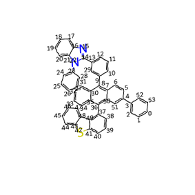 c1ccc(-c2ccc3c(-c4cccc(-c5nc6ccccc6n5-c5ccccc5)c4)c4ccccc4c(-c4cccc5sc6ccccc6c45)c3c2)cc1